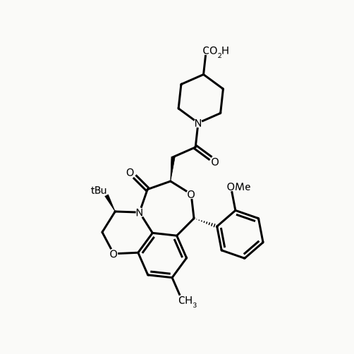 COc1ccccc1[C@H]1O[C@H](CC(=O)N2CCC(C(=O)O)CC2)C(=O)N2c3c(cc(C)cc31)OC[C@H]2C(C)(C)C